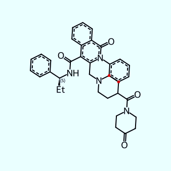 CC[C@H](NC(=O)c1c(CN2CCC(C(=O)N3CCC(=O)CC3)CC2)n(-c2ccccc2)c(=O)c2ccccc12)c1ccccc1